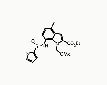 CCOC(=O)c1cc2c(C)ccc(N[S+]([O-])c3cccs3)c2n1COC